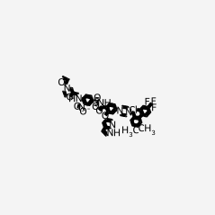 CC1(C)CCC(CN2CCN(c3ccc(C(=O)NS(=O)(=O)c4ccc(NCC5CN(C6CCO6)CCO5)c([N+](=O)[O-])c4)c(Oc4cnc5[nH]ccc5c4)c3)CC2)=C(c2ccc(C(F)(F)F)cc2Cl)C1